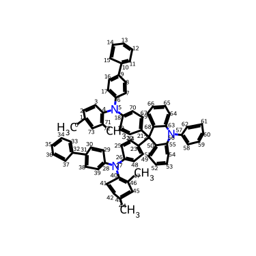 Cc1ccc(N(c2ccc(-c3ccccc3)cc2)c2ccc(C3(c4ccc(N(c5ccc(-c6ccccc6)cc5)c5ccc(C)cc5C)cc4)c4ccccc4N(c4ccccc4)c4ccccc43)cc2)c(C)c1